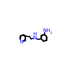 Nc1cccc(CNCCc2cccnc2)c1